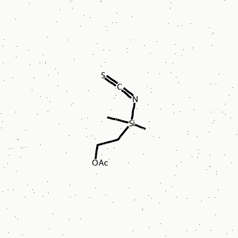 CC(=O)OCC[Si](C)(C)N=C=S